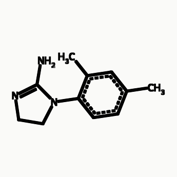 Cc1ccc(N2CCN=C2N)c(C)c1